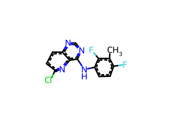 Cc1c(F)ccc(Nc2ncnc3ccc(Cl)nc23)c1F